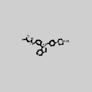 C/C(F)=C\C(=O)Nc1cccc(C2c3ccncc3C=CN2Nc2ccc(N3CCN(C)CC3)cc2)c1